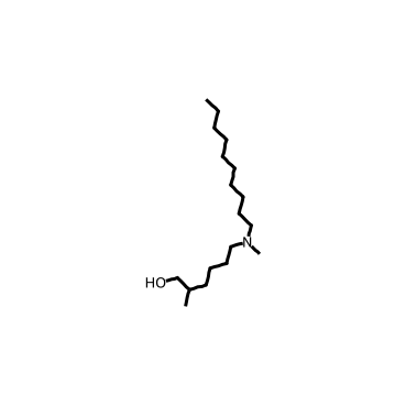 CCCCCCCCCCN(C)CCCCC(C)CO